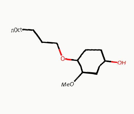 CCCCCCCCCCCOC1CCC(O)CC1OC